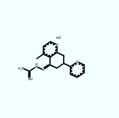 Cc1ccnc2c1/C(=N\NC(=N)N)CC(c1ccccn1)C2.Cl